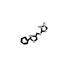 c1ccc(C2NC(CSC3NNCS3)CS2)cc1